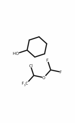 FC(F)OC(Cl)C(F)(F)F.OC1CCCCC1